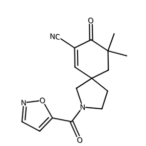 CC1(C)CC2(C=C(C#N)C1=O)CCN(C(=O)c1ccno1)C2